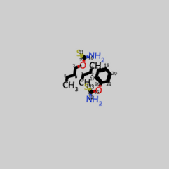 CCCC.CCCCOC(N)=S.NC(=S)Oc1ccccc1